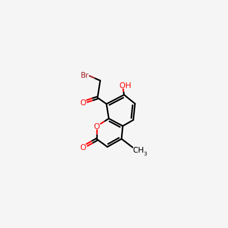 Cc1cc(=O)oc2c(C(=O)CBr)c(O)ccc12